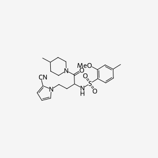 COc1cc(C)ccc1S(=O)(=O)NC(CCn1cccc1C#N)C(=O)N1CCC(C)CC1